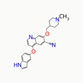 CN1CCC(COc2cc3nccc(Oc4ccc5[nH]ccc5c4)c3cc2C#N)CC1